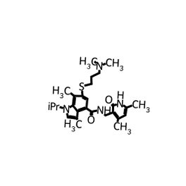 Cc1cc(C)c(CNC(=O)c2cc(SCCCN(C)C)c(C)c3c2c(C)cn3C(C)C)c(=O)[nH]1